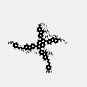 C=Cc1ccc2c(c1)C(C)(C)c1cc(-c3cc(-c4ccc5c(c4)C(C)(C)c4cc(C=C)ccc4-5)c4ccc5c(-c6ccc7c(c6)C(C)(C)c6cc(CCCc8ccc(O)cc8)ccc6-7)cc(-c6ccc7c(c6)C(C)(C)c6cc(CCCc8ccc(O)cc8)ccc6-7)c6ccc3c4c65)ccc1-2